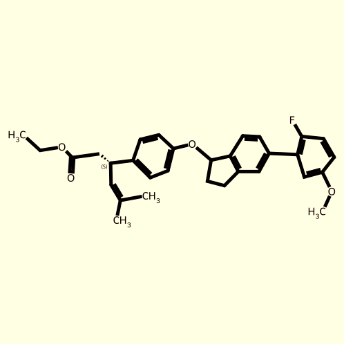 CCOC(=O)C[C@@H](C=C(C)C)c1ccc(OC2CCc3cc(-c4cc(OC)ccc4F)ccc32)cc1